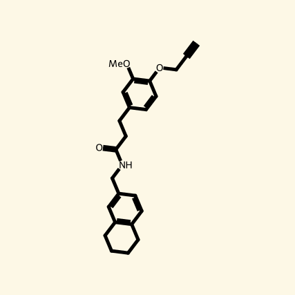 C#CCOc1ccc(CCC(=O)NCc2ccc3c(c2)CCCC3)cc1OC